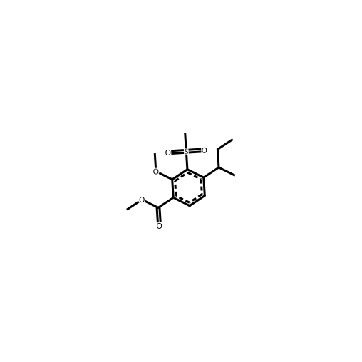 CCC(C)c1ccc(C(=O)OC)c(OC)c1S(C)(=O)=O